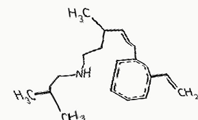 C=Cc1ccccc1/C=C\C(C)CCNCC(C)C